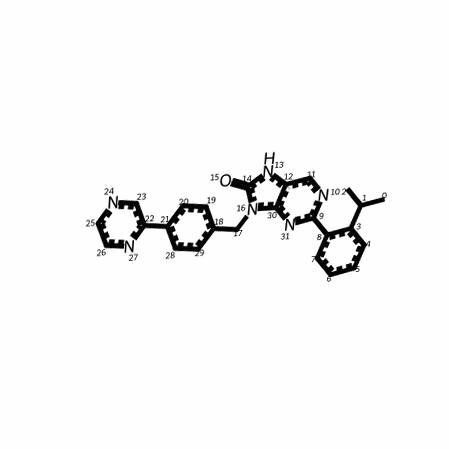 CC(C)c1ccccc1-c1ncc2[nH]c(=O)n(Cc3ccc(-c4cnccn4)cc3)c2n1